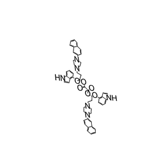 O=C(OC(CCN1CCN(c2ccc3ccccc3c2)CC1)Oc1cccc2[nH]ccc12)C(=O)OC(CCN1CCN(c2ccc3ccccc3c2)CC1)Oc1cccc2[nH]ccc12